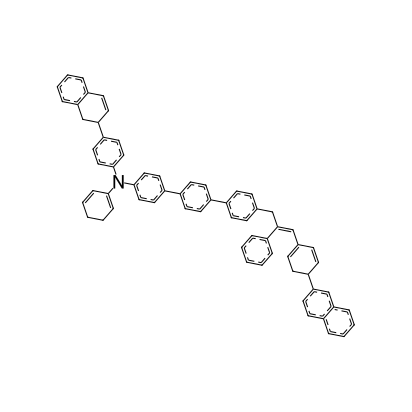 C1=CC(N(c2ccc(-c3ccc(-c4ccc(C/C(=C/C5=CCC(c6ccc7ccccc7c6)C=C5)c5ccccc5)cc4)cc3)cc2)c2ccc(C3C=Cc4ccccc4C3)cc2)=CCC1